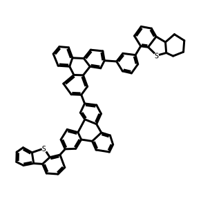 c1cc(-c2ccc3c4ccccc4c4ccc(-c5ccc6c7ccccc7c7cc(-c8cccc9c8sc8ccccc89)ccc7c6c5)cc4c3c2)cc(-c2cccc3c2SC2CCCCC32)c1